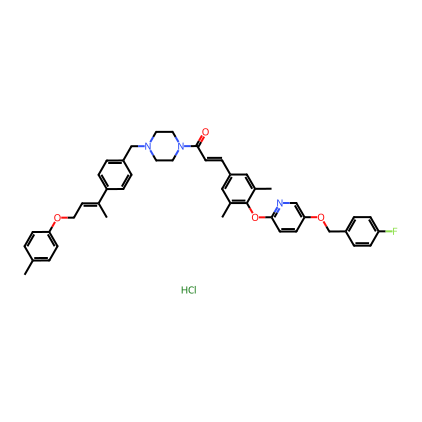 C/C(=C\COc1ccc(C)cc1)c1ccc(CN2CCN(C(=O)/C=C/c3cc(C)c(Oc4ccc(OCc5ccc(F)cc5)cn4)c(C)c3)CC2)cc1.Cl